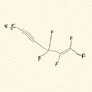 FC(F)=C(F)C(F)(F)C#CC(F)(F)F